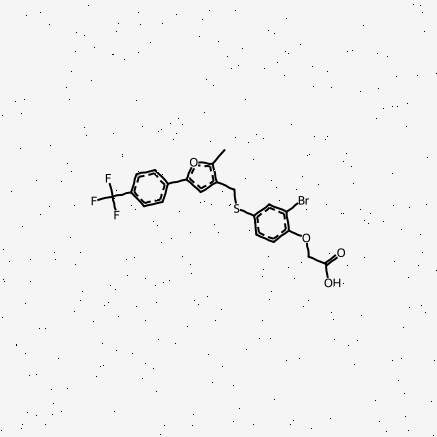 Cc1oc(-c2ccc(C(F)(F)F)cc2)cc1CSc1ccc(OCC(=O)O)c(Br)c1